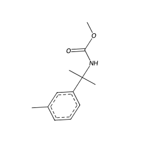 COC(=O)NC(C)(C)c1cccc(C)c1